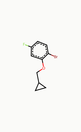 Fc1ccc(Br)c(OCC2CC2)c1